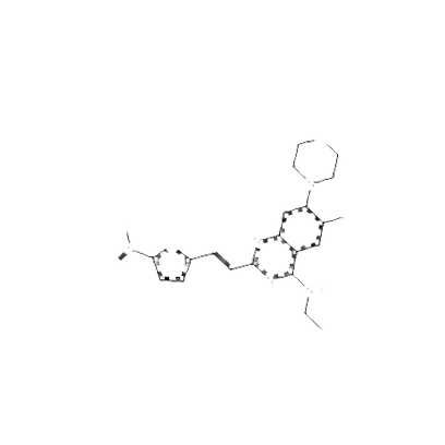 CCNc1nc(C=Cc2ccc([N+](=O)[O-])o2)nc2cc(N3CCOCC3)c(F)cc12